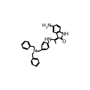 CC(Nc1ccc(CN(Cc2ccccc2)Cc2ccccc2)cc1)=C1C(=O)Nc2ccc(N)cc21